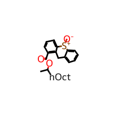 CCCCCCCCC(C)OC(=O)c1cccc2c1Cc1ccccc1[S+]2[O-]